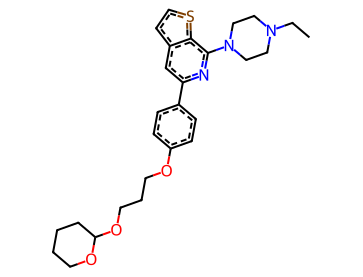 CCN1CCN(c2nc(-c3ccc(OCCCOC4CCCCO4)cc3)cc3ccsc23)CC1